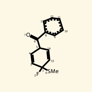 CSC1(F)C=CC(C(=O)c2ccccc2)C=C1